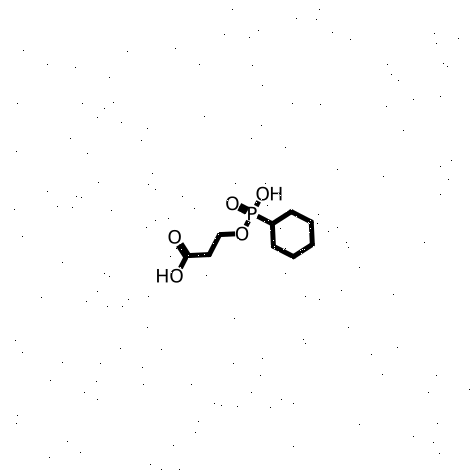 O=C(O)CCOP(=O)(O)C1CCCCC1